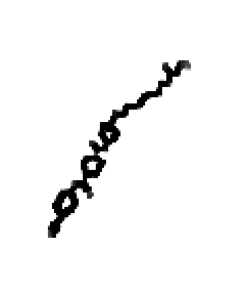 C=CC(=O)OCCCCCCOc1ccc(OC(=O)[C@H]2CC[C@H](C(=O)Oc3ccc(C#N)cc3)CC2)cc1